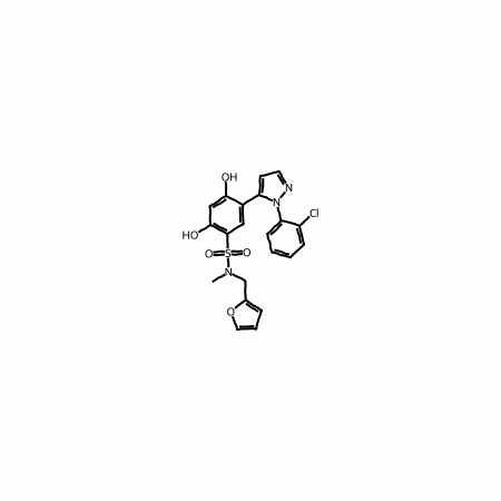 CN(Cc1ccco1)S(=O)(=O)c1cc(-c2ccnn2-c2ccccc2Cl)c(O)cc1O